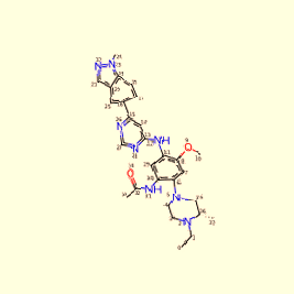 CCN1CCN(c2cc(OC)c(Nc3cc(-c4ccc5c(cnn5C)c4)ncn3)cc2NC(C)=O)C[C@@H]1C